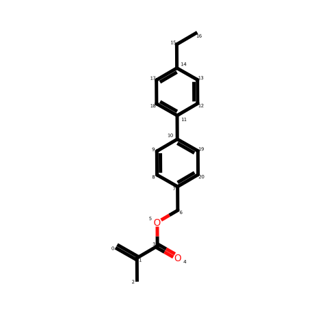 C=C(C)C(=O)OCc1ccc(-c2ccc(CC)cc2)cc1